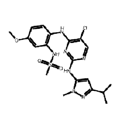 COc1ccc(Nc2nc(Nc3cc(C(C)C)nn3C)ncc2Cl)c(NS(C)(=O)=O)c1